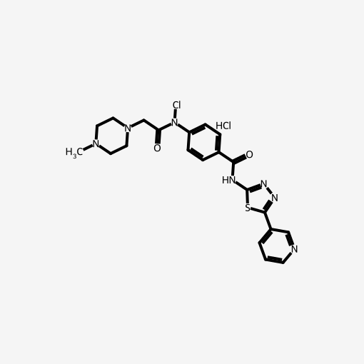 CN1CCN(CC(=O)N(Cl)c2ccc(C(=O)Nc3nnc(-c4cccnc4)s3)cc2)CC1.Cl